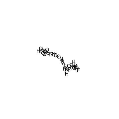 O=C1CCC(N2C(=O)c3ccc(N4CCN(COCCOCCN5CCN(c6ccc(-c7cnc8[nH]cc(C(=O)c9c(F)ccc(NS(=O)(=O)N%10CC[C@@H](F)C%10)c9F)c8c7)cc6)CC5)CC4)cc3C2=O)C(=O)N1